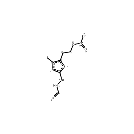 Cc1nc(NNC=O)sc1CCO[N+](=O)[O-]